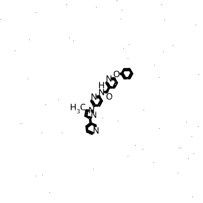 Cc1cc(-c2cccnc2)nn1-c1ccc(NC(=O)c2ccc(Oc3ccccc3)nc2)nc1